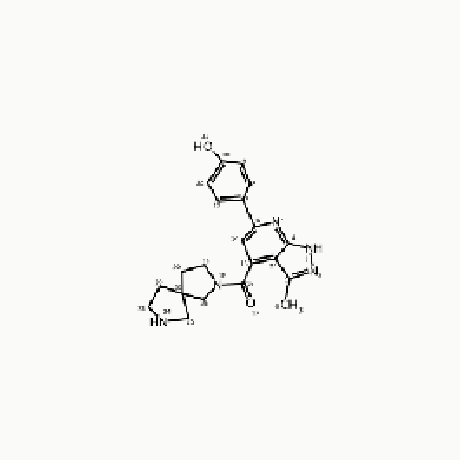 Cc1n[nH]c2nc(-c3ccc(O)cc3)cc(C(=O)N3CCC4(CCNC4)C3)c12